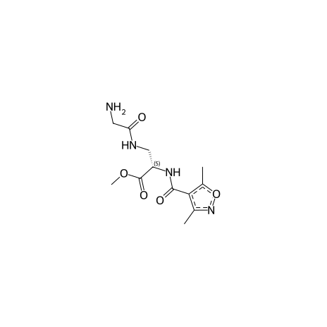 COC(=O)[C@H](CNC(=O)CN)NC(=O)c1c(C)noc1C